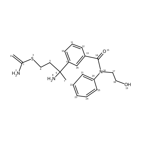 C=C(N)SCCC(C)(N)c1cccc(C(=O)N(CCO)c2ccccc2)c1